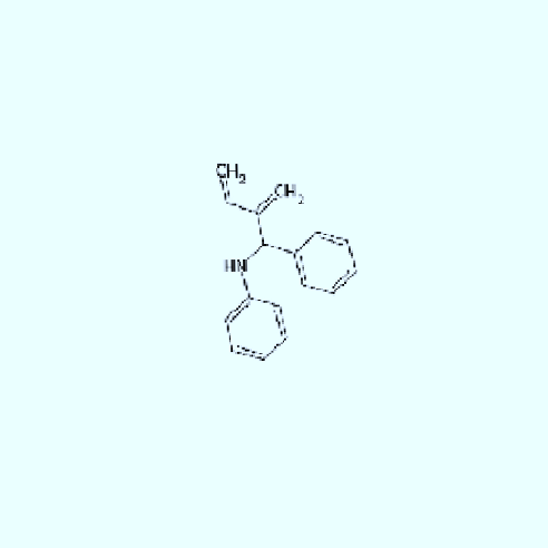 C=CC(=C)C(Nc1ccccc1)c1ccccc1